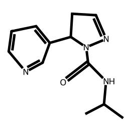 CC(C)NC(=O)N1N=CCC1c1cccnc1